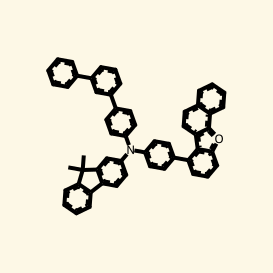 CC1(C)c2ccccc2-c2ccc(N(c3ccc(-c4cccc(-c5ccccc5)c4)cc3)c3ccc(-c4cccc5oc6c7ccccc7ccc6c45)cc3)cc21